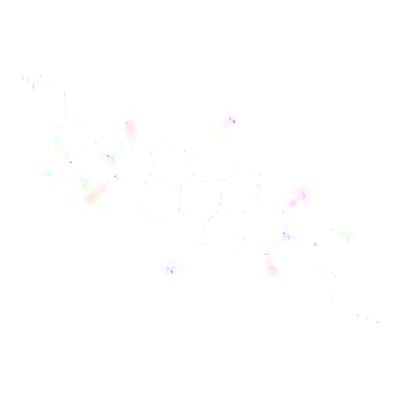 CCCC[C@@H](CF)N1C(=O)c2ccc3c4c(C#N)cc5c6c(ccc(c7c(C#N)cc(c2c37)C1=O)c64)C(=O)N([C@@H](CCCC)C(F)(F)F)C5=O